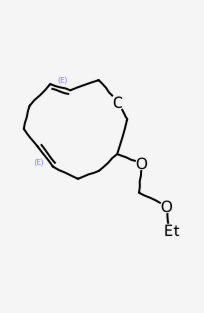 CCOCOC1CC/C=C/CC/C=C/CCC1